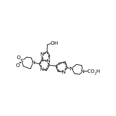 O=C(O)N1CCN(c2ccc(-c3cnc(N4CCS(=O)(=O)CC4)c4nc(CO)cn34)cn2)CC1